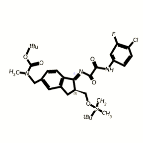 CN(Cc1ccc2c(c1)C[C@H](CO[Si](C)(C)C(C)(C)C)/C2=N\C(=O)C(=O)Nc1ccc(Cl)c(F)c1)C(=O)OC(C)(C)C